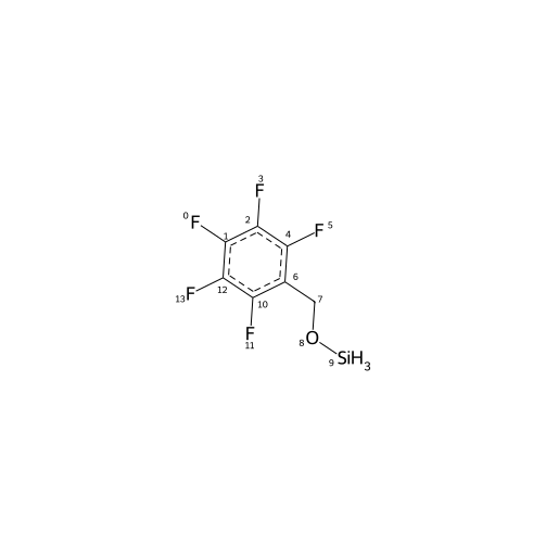 Fc1c(F)c(F)c(CO[SiH3])c(F)c1F